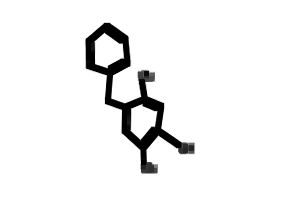 CC(C)(C)c1cc(Cc2ccccc2)c(C(C)(C)C)cc1O